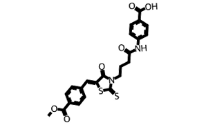 COC(=O)c1ccc(/C=C2\SC(=S)N(CCCC(=O)Nc3ccc(C(=O)O)cc3)C2=O)cc1